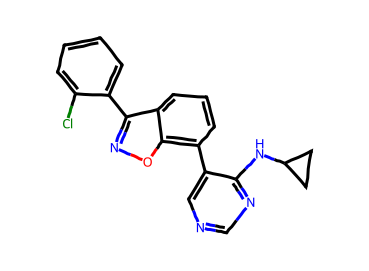 Clc1ccccc1-c1noc2c(-c3cncnc3NC3CC3)cccc12